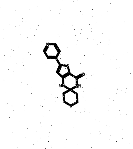 O=C1NC2(CCSCC2)Nc2cc(-c3ccncc3)sc21